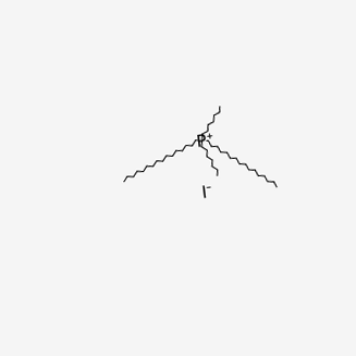 CCCCCCCCCCCCCCCC[P+](CCCCCCC)(CCCCCCC)CCCCCCCCCCCCCCCC.[I-]